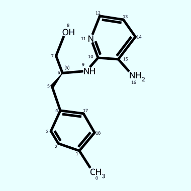 Cc1ccc(C[C@@H](CO)Nc2ncccc2N)cc1